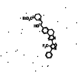 CCOC(=O)[C@H]1CCCN(C[C@@H](O)c2ccc3c(c2)CCc2nc(-c4onc(-c5ccccc5)c4C(F)(F)F)sc2-3)C1